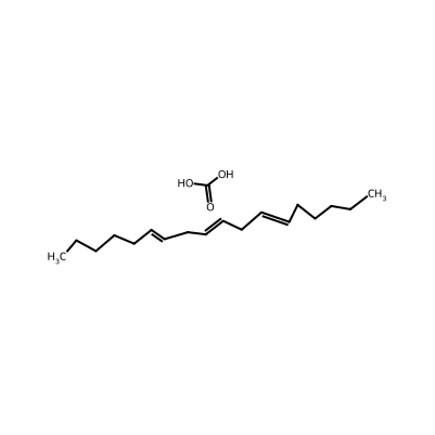 CCCCCC=CCC=CCC=CCCCCC.O=C(O)O